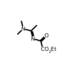 CCOC(=O)C(=O)/N=C(\C)N(C)C